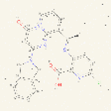 C[C@@H](Nc1ccc(Cl)nc1C(=O)O)c1cccn2c(=O)cc(N3Cc4ccccc4C3)nc12